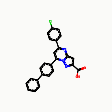 O=C(O)c1cc2nc(-c3ccc(Cl)cc3)cc(-c3ccc(-c4ccccc4)cc3)n2n1